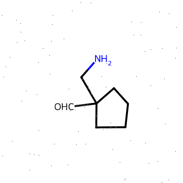 NCC1(C=O)CCCC1